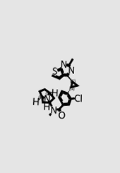 Cc1nc([C@H]2C[C@@H]2c2ccc(C(=O)N(C)C3C[C@H]4CC[C@@H](C3)N4)cc2Cl)c2ccsc2n1